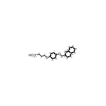 O=C(O)CCCOc1ccc(OCc2ccc3ccccc3n2)cc1